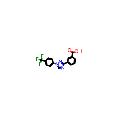 O=C(O)c1cccc(-c2ncn(-c3ccc(C(F)(F)F)cc3)n2)c1